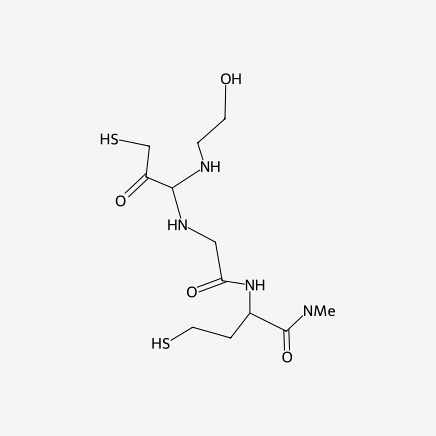 CNC(=O)C(CCS)NC(=O)CNC(NCCO)C(=O)CS